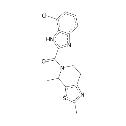 Cc1nc2c(s1)C(C)N(C(=O)c1nc3cccc(Cl)c3[nH]1)CC2